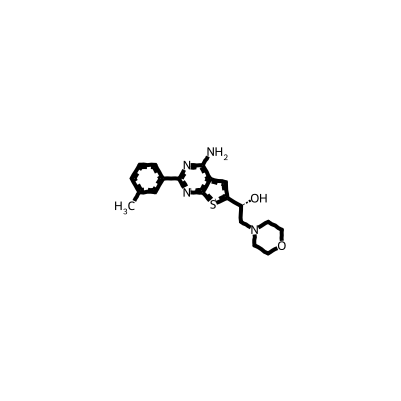 Cc1cccc(-c2nc(N)c3cc([C@H](O)CN4CCOCC4)sc3n2)c1